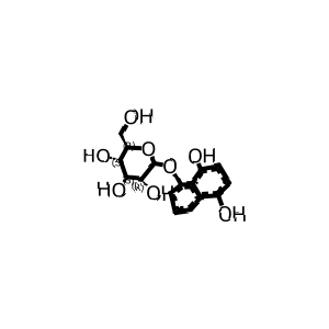 OC[C@H]1OC(Oc2cccc3c(O)ccc(O)c23)[C@H](O)[C@@H](O)[C@@H]1O